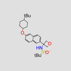 CC(C)(C)C1CCC(Oc2ccc3cc(C4(N[S+]([O-])C(C)(C)C)COC4)ccc3c2)CC1